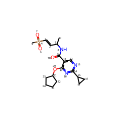 CC(C=CS(C)(=O)=O)NC(=O)c1cnc(C2CC2)nc1OC1CCCC1